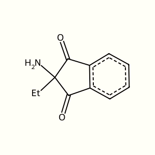 CCC1(N)C(=O)c2ccccc2C1=O